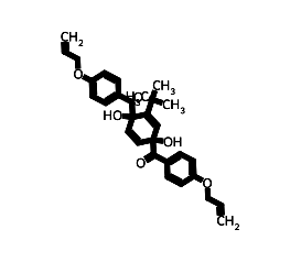 C=CCOc1ccc(C(=O)C2(O)C=CC(O)(C(=O)c3ccc(OCC=C)cc3)C(C(C)(C)C)=C2)cc1